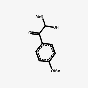 COc1ccc(C(=O)C(O)SC)cc1